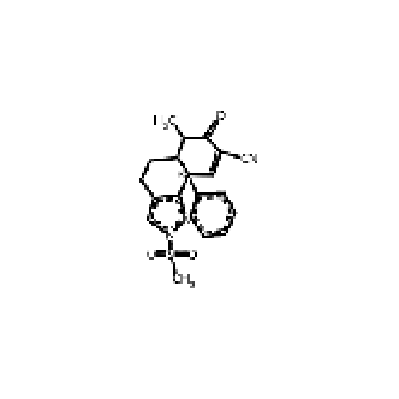 CC1C(=O)C(C#N)=C[C@]2(c3ccccc3)c3nn(S(C)(=O)=O)cc3CCC12